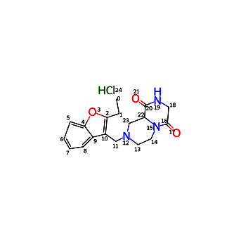 CCc1oc2ccccc2c1CN1CCN2C(=O)CNC(=O)C2C1.Cl